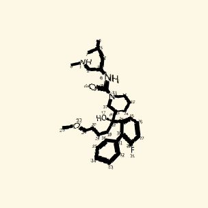 CNCC(CC(C)C)NC(=O)N1CCC[C@@H]([C@@](O)(CCCCOC)c2cccc(F)c2-c2ccccc2)C1